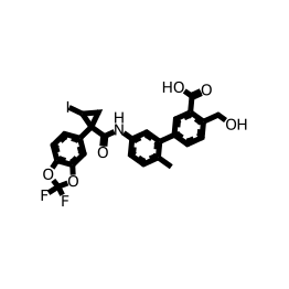 Cc1ccc(NC(=O)C2(c3ccc4c(c3)OC(F)(F)O4)CC2I)cc1-c1ccc(CO)c(C(=O)O)c1